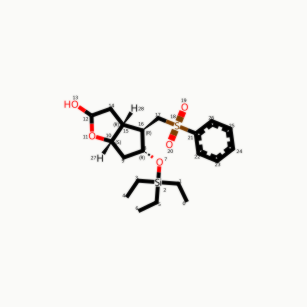 CC[Si](CC)(CC)O[C@@H]1C[C@@H]2OC(O)C[C@@H]2[C@H]1CS(=O)(=O)c1ccccc1